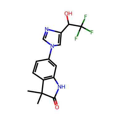 CC1(C)C(=O)Nc2cc(-n3cnc(C(O)C(F)(F)F)c3)ccc21